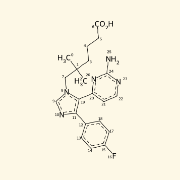 CC(C)(CCCC(=O)O)Cn1cnc(-c2ccc(F)cc2)c1-c1ccnc(N)n1